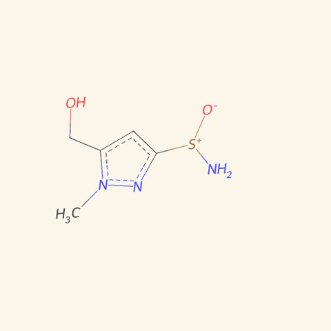 Cn1nc([S+](N)[O-])cc1CO